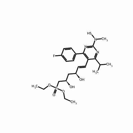 CCOP(=O)(C[C@H](O)C[C@H](O)/C=C/c1c(-c2ccc(F)cc2)nc(N(C)S)nc1C(C)C)OCC